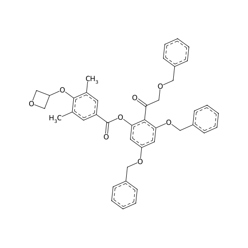 Cc1cc(C(=O)Oc2cc(OCc3ccccc3)cc(OCc3ccccc3)c2C(=O)COCc2ccccc2)cc(C)c1OC1COC1